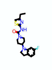 CCc1csc(NC(=O)N2CCC(N3CCc4ccc(F)cc43)CC2)n1